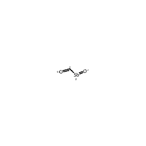 O=[CH][Sb]=[O]